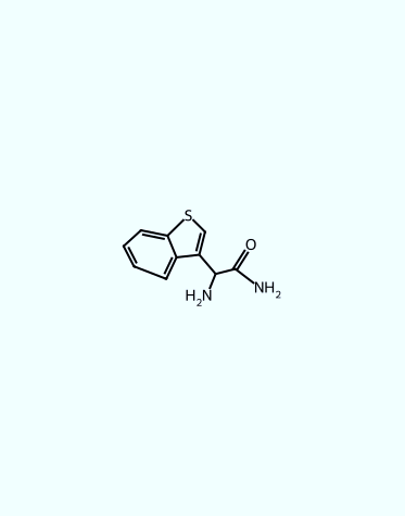 NC(=O)C(N)c1csc2ccccc12